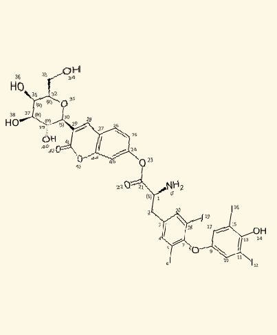 N[C@@H](Cc1cc(I)c(Oc2cc(I)c(O)c(I)c2)c(I)c1)C(=O)Oc1ccc2cc([C@@H]3O[C@H](CO)[C@H](O)[C@H](O)[C@H]3O)c(=O)oc2c1